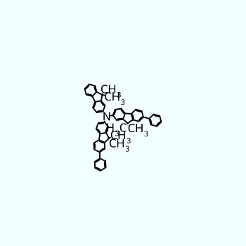 CC1(C)c2ccccc2-c2ccc(N(c3ccc4c(c3)C(C)(C)c3cc(-c5ccccc5)ccc3-4)c3ccc4c(c3)C(C)(C)c3cc(-c5ccccc5)ccc3-4)cc21